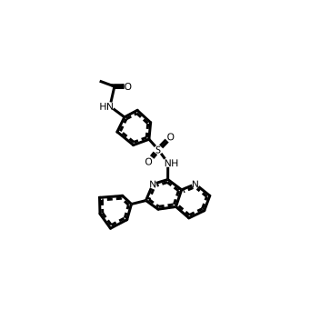 CC(=O)Nc1ccc(S(=O)(=O)Nc2nc(-c3ccccc3)cc3cccnc23)cc1